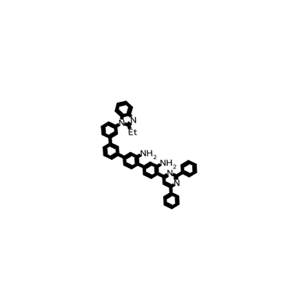 CCc1nc2ccccc2n1-c1cccc(-c2cccc(-c3ccc(-c4ccc(-c5cc(-c6ccccc6)nc(-c6ccccc6)n5)c(N)c4)c(N)c3)c2)c1